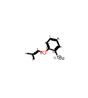 CC(C)=COc1ccccc1C(C)(C)C